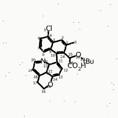 Cc1cc2c(Cl)cccc2c(C2=CC=C3OCCC4=CC=NC2C43)c1C(OC(C)(C)C)C(=O)O